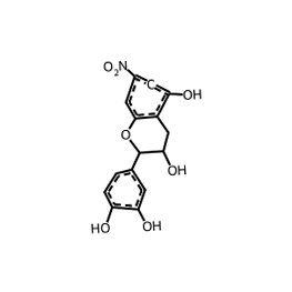 O=[N+]([O-])c1cc(O)c2c(c1)OC(c1ccc(O)c(O)c1)C(O)C2